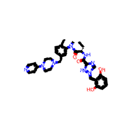 CC[C@H](NC(=O)C1N=CN(Cc2c(O)cccc2O)N1)C(=O)N(C)c1cc(CN2CCN(c3ccncc3)CC2)ccc1C